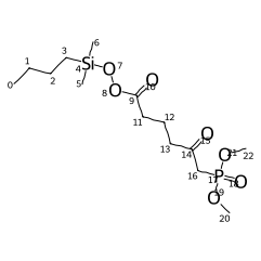 CCCC[Si](C)(C)OOC(=O)CCCC(=O)CP(=O)(OC)OC